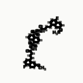 COc1ccc2c(F)ccc(CCCC(=O)NOS(=O)(=O)c3cccc4c(S(=O)(=O)ONC(=O)CCCc5ccc(F)c6ccc(OC)cc56)cccc34)c2c1